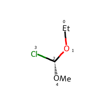 CCO[C@@H](Cl)OC